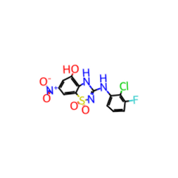 O=[N+]([O-])c1cc(O)c2c(c1)S(=O)(=O)N=C(Nc1cccc(F)c1Cl)N2